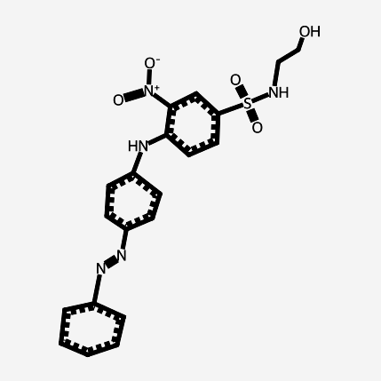 O=[N+]([O-])c1cc(S(=O)(=O)NCCO)ccc1Nc1ccc(N=Nc2ccccc2)cc1